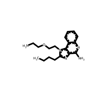 CCCCc1nc2c(N)nc3ccccc3c2n1CCOCCN